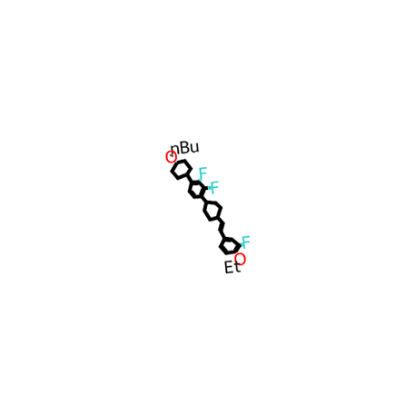 CCCCOC1CCC(c2ccc(C3CCC(/C=C/c4ccc(OCC)c(F)c4)CC3)c(F)c2F)CC1